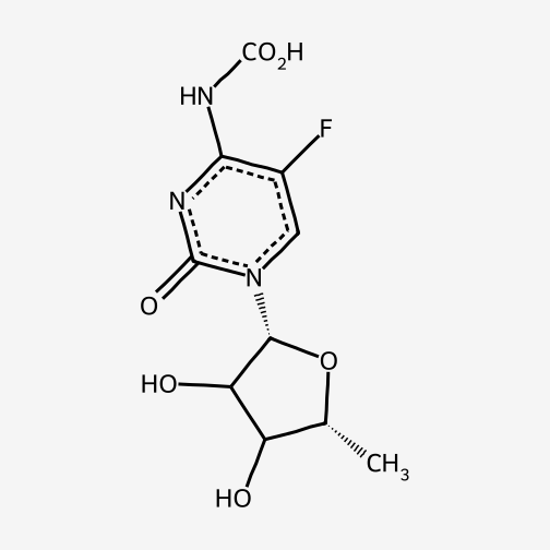 C[C@H]1O[C@@H](n2cc(F)c(NC(=O)O)nc2=O)C(O)C1O